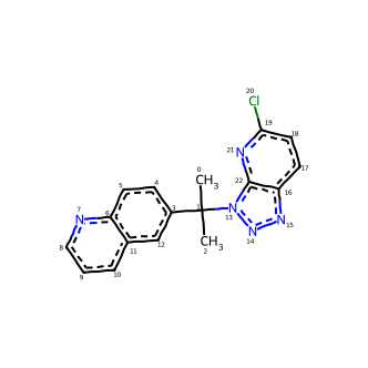 CC(C)(c1ccc2ncccc2c1)n1nnc2ccc(Cl)nc21